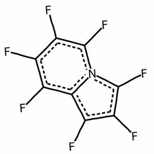 Fc1c(F)c(F)n2c(F)c(F)c(F)c2c1F